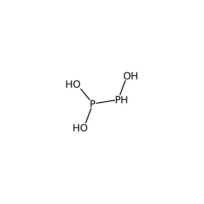 OPP(O)O